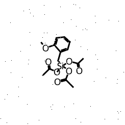 COc1ccccc1C[Si](OC(C)=O)(OC(C)=O)OC(C)=O